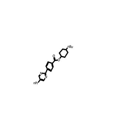 CCCCC1CCC(OC(=O)c2ccc(-c3ncc(CCC)cn3)cc2)CC1